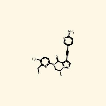 C[C@H]1CN(c2ccc(C(F)(F)F)c(CF)n2)C(=O)c2c(C#Cc3ccc(N)nc3)cnn21